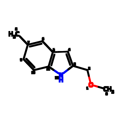 COCc1cc2cc(C)ccc2[nH]1